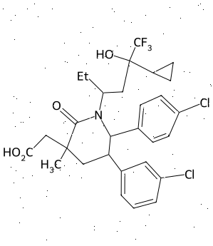 CCC(CC(O)(C1CC1)C(F)(F)F)N1C(=O)C(C)(CC(=O)O)CC(c2cccc(Cl)c2)C1c1ccc(Cl)cc1